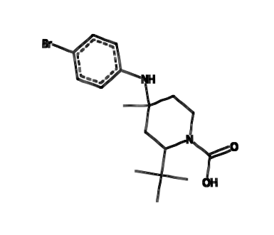 CC1(Nc2ccc(Br)cc2)CCN(C(=O)O)C(C(C)(C)C)C1